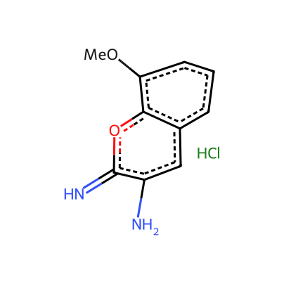 COc1cccc2cc(N)c(=N)oc12.Cl